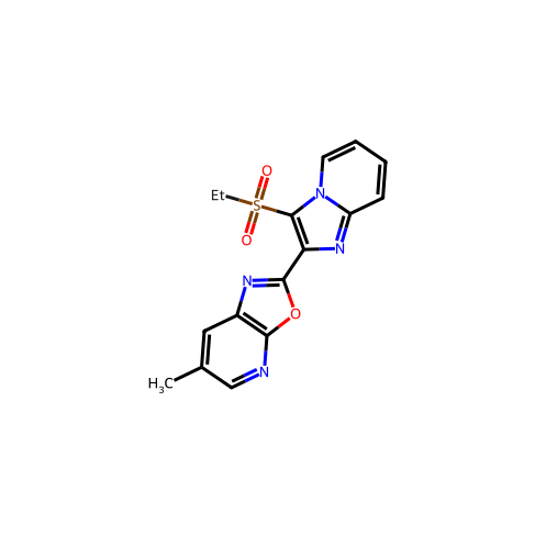 CCS(=O)(=O)c1c(-c2nc3cc(C)cnc3o2)nc2ccccn12